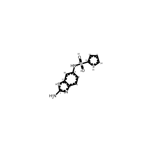 Nc1nc2ccc(NS(=O)(=O)c3cccs3)cc2s1